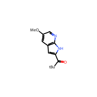 COc1cnc2[nH]c(C(=O)C(C)(C)C)cc2c1